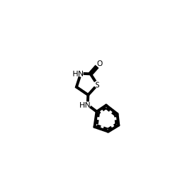 O=C1NCC(Nc2ccccc2)S1